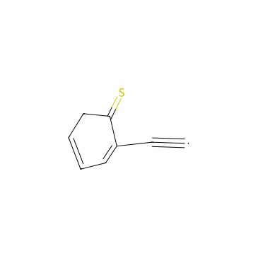 [C]#CC1=CC=CCC1=S